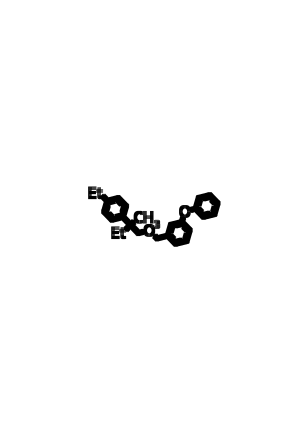 CCc1ccc(C(C)(CC)COCc2cccc(Oc3ccccc3)c2)cc1